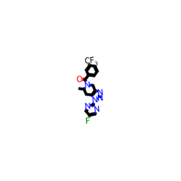 CC1Cc2c(nnn2-c2ncc(F)cn2)CN1C(=O)c1cccc(C(F)(F)F)c1